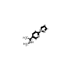 CN[C@@H](C)c1ccc(-n2cccn2)nc1